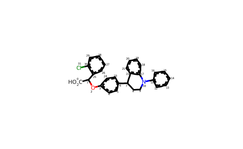 O=C(O)C(Oc1ccc(C2CCN(c3ccccc3)c3ccccc32)cc1)c1ccccc1Cl